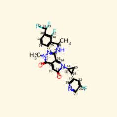 C[C@@H](Nc1nn(C)c(=O)c2cc(=O)n([C@H]3C[C@@H]3c3cncc(F)c3)cc12)c1cccc(C(F)F)c1F